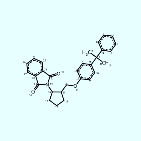 CC(C)(c1ccccc1)c1ccc(OCC2CCCC2N2C(=O)c3ccccc3C2=O)cc1